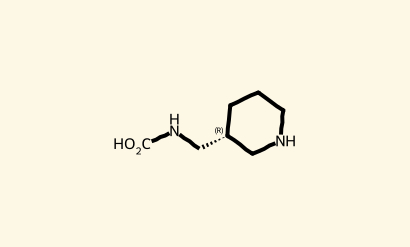 O=C(O)NC[C@@H]1CCCNC1